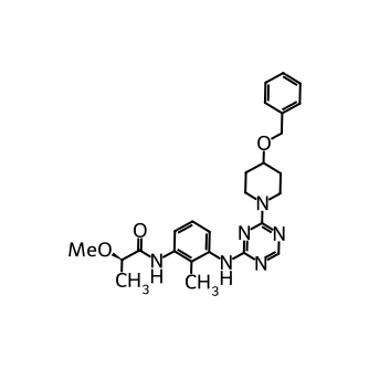 CO[C@H](C)C(=O)Nc1cccc(Nc2ncnc(N3CCC(OCc4ccccc4)CC3)n2)c1C